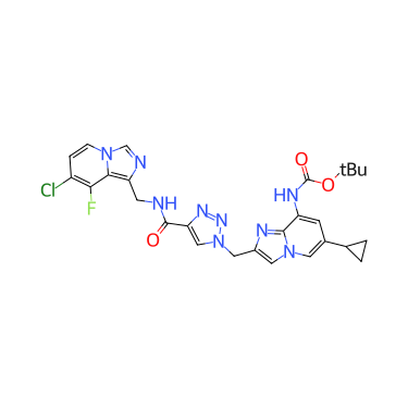 CC(C)(C)OC(=O)Nc1cc(C2CC2)cn2cc(Cn3cc(C(=O)NCc4ncn5ccc(Cl)c(F)c45)nn3)nc12